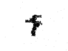 CCCC(C)OC(=O)Nc1ccc(-c2nc([C@H]3CC[C@H](N4CCN(C(C)=O)CC4)CC3)n3ccnc(C)c23)cc1OC